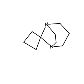 C1CN2CCN(C1)C21CCC1